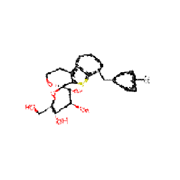 CCc1ccc(Cc2cccc3c4c(sc23)[C@]2(OCC4)O[C@H](CO)[C@@H](O)[C@H](O)[C@H]2O)cc1